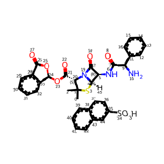 CC1(C)S[C@@H]2[C@H](NC(=O)C(N)c3ccccc3)C(=O)N2[C@H]1C(=O)OC1OC(=O)c2ccccc21.O=S(=O)(O)c1ccc2ccccc2c1